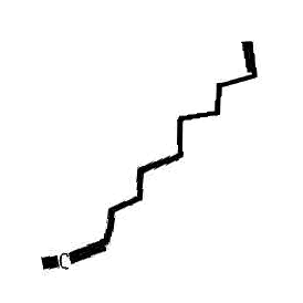 C=C=CCCCCCCCC=C